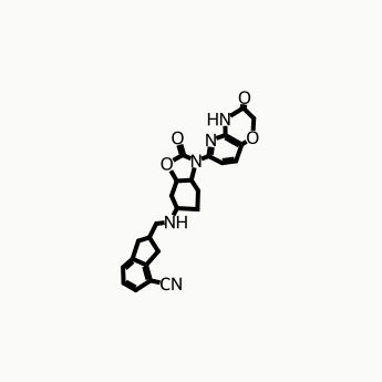 N#Cc1cccc2c1CC(CNC1CCC3C(C1)OC(=O)N3c1ccc3c(n1)NC(=O)CO3)C2